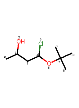 CC(O)CC(Cl)OC(C)(C)C